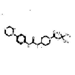 CC(C)(C)OC(=O)N1CCC(NC(=O)Nc2ccc(N3CCOCC3)cc2)CC1